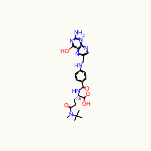 CN(C(=O)CC[C@H](NC(=O)c1ccc(NCc2cnc3nc(N)nc(O)c3n2)cc1)C(=O)O)C(C)(C)C